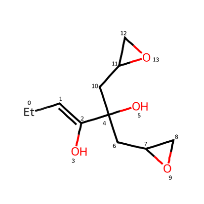 CCC=C(O)C(O)(CC1CO1)CC1CO1